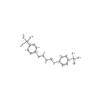 FC(F)(F)c1ccc(CSOSCc2ccc(C(F)(F)F)cc2)cc1